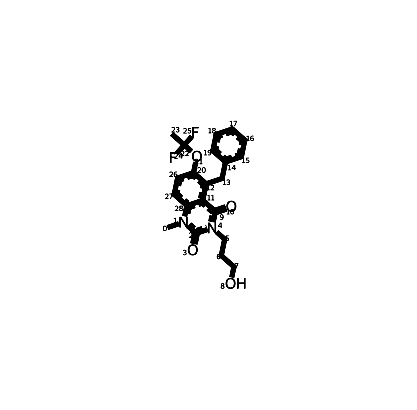 Cn1c(=O)n(CCCO)c(=O)c2c(Cc3ccccc3)c(OC(C)(F)F)ccc21